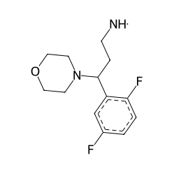 [NH]CCC(c1cc(F)ccc1F)N1CCOCC1